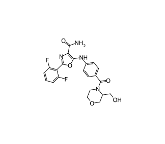 NC(=O)c1nc(-c2c(F)cccc2F)oc1Nc1ccc(C(=O)N2CCOCC2CO)cc1